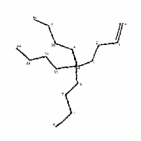 [CH]=CCCC(CCCC)(CCCC)CCCC